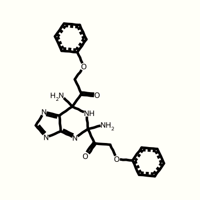 NC1(C(=O)COc2ccccc2)N=C2N=CN=C2C(N)(C(=O)COc2ccccc2)N1